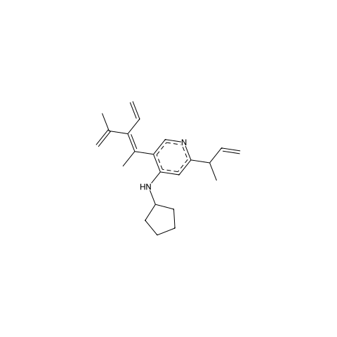 C=C/C(C(=C)C)=C(/C)c1cnc(C(C)C=C)cc1NC1CCCC1